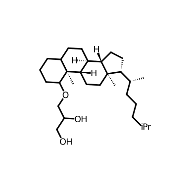 CC(C)CCC[C@@H](C)[C@H]1CC[C@H]2[C@@H]3CCC4CCCC(OCC(O)CO)[C@]4(C)[C@H]3CC[C@]12C